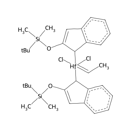 C[CH]=[Hf]([Cl])([Cl])([CH]1C(O[Si](C)(C)C(C)(C)C)=Cc2ccccc21)[CH]1C(O[Si](C)(C)C(C)(C)C)=Cc2ccccc21